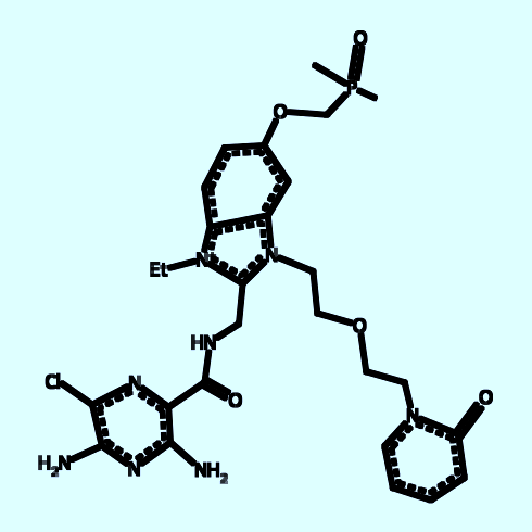 CC[n+]1c(CNC(=O)c2nc(Cl)c(N)nc2N)n(CCOCCn2ccccc2=O)c2cc(OCP(C)(C)=O)ccc21